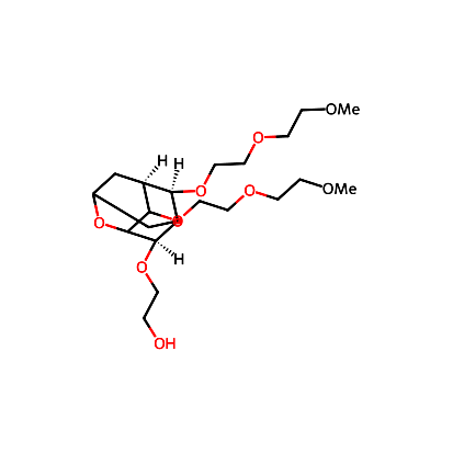 COCCOCCOC1C2OC3CC([C@H]2OCCO)[C@H](OCCOCCOC)[C@@H]1C3